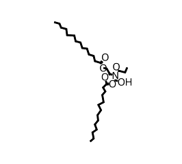 CCCCCCCCCCCCCC(=O)OCC(OC(=O)CCCCCCCCCCCCC)N(CO)C(=O)CC